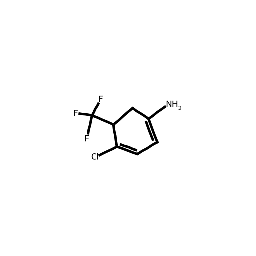 NC1=CC=C(Cl)C(C(F)(F)F)C1